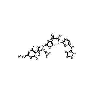 COc1cc(C)c(S(=O)(=O)N(Cc2nc(C(=O)N(C)Cc3nnc(CN4CCCC4)s3)co2)C2CC2)c(C)c1